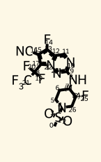 CS(=O)(=O)N1CC[C@@H](Nc2ncc3c(F)c(C#N)c(C(F)(F)C(F)(F)F)n3n2)[C@H](F)C1